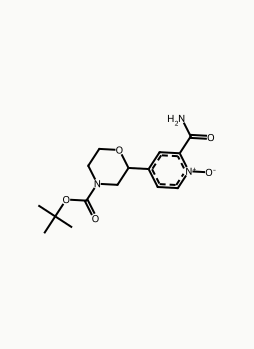 CC(C)(C)OC(=O)N1CCOC(c2cc[n+]([O-])c(C(N)=O)c2)C1